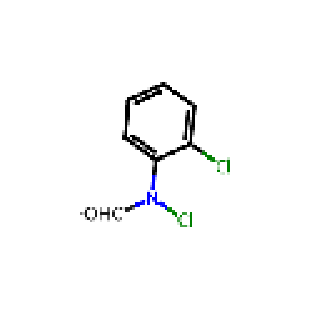 O=[C]N(Cl)c1ccccc1Cl